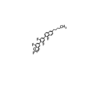 CCCCCc1ccc2c(F)c(-c3cc(F)c(-c4cc(F)c(OC(F)F)c(F)c4)c(F)c3)ccc2c1